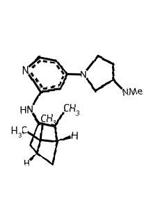 CNC1CCN(c2ccnc(NC3C[C@H]4C[C@@H](C3C)C4(C)C)c2)C1